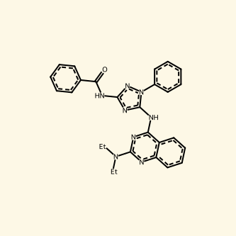 CCN(CC)c1nc(Nc2nc(NC(=O)c3ccccc3)nn2-c2ccccc2)c2ccccc2n1